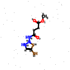 COC(=O)CCC(=O)NN1NC=C(S)S1